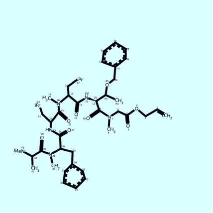 C=CCOC(=O)CN(C)C(=O)[C@@H](NC(=O)C(CC(C)C)N(C)C(=O)C(CC(C)C)NC(=O)C(Cc1ccccc1)N(C)C(=O)C(C)NC)C(C)OCc1ccccc1